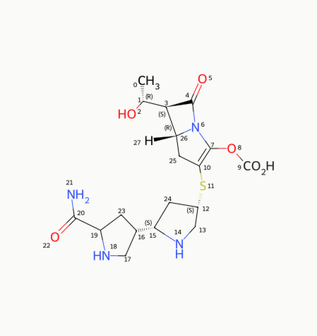 C[C@@H](O)[C@H]1C(=O)N2C(OC(=O)O)=C(S[C@@H]3CN[C@H](C4CNC(C(N)=O)C4)C3)C[C@H]12